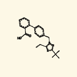 CCc1nc(C(C)(C)C)nn1Cc1ccc(-c2ccccc2C(=O)O)cc1